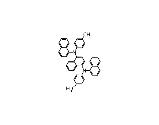 Cc1ccc(N(c2cccc3ccccc23)c2ccc(N(c3ccc(C)cc3)c3cccc4ccccc34)c3ccccc23)cc1